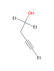 CCC#CCC(O)(CC)CC